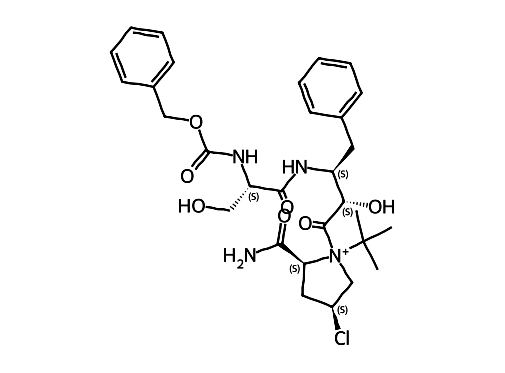 CC(C)(C)[N+]1(C(=O)[C@@H](O)[C@H](Cc2ccccc2)NC(=O)[C@H](CO)NC(=O)OCc2ccccc2)C[C@@H](Cl)C[C@H]1C(N)=O